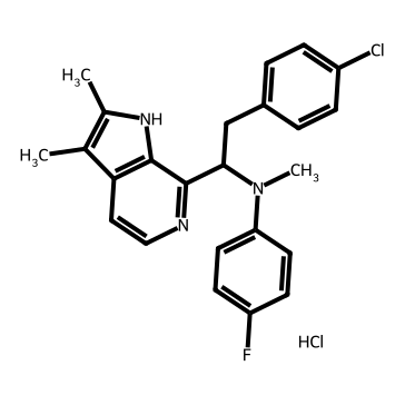 Cc1[nH]c2c(C(Cc3ccc(Cl)cc3)N(C)c3ccc(F)cc3)nccc2c1C.Cl